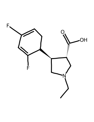 CCN1C[C@@H](C(=O)O)[C@H](C2CC=C(F)C=C2F)C1